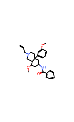 C=CCN1CCC2(c3cccc(OC)c3)CC(NC(=O)c3ccccc3)CC(OC)C2C1